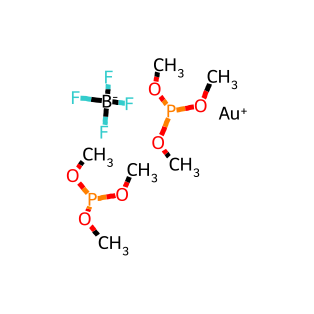 COP(OC)OC.COP(OC)OC.F[B-](F)(F)F.[Au+]